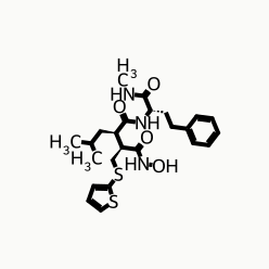 CNC(=O)[C@H](CCc1ccccc1)NC(=O)[C@H](CC(C)C)[C@H](CSc1cccs1)C(=O)NO